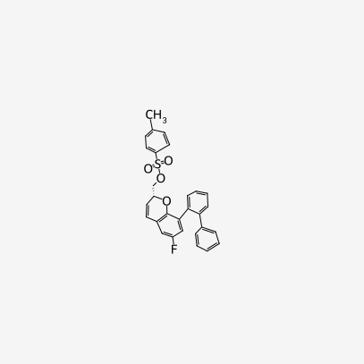 Cc1ccc(S(=O)(=O)OC[C@H]2C=Cc3cc(F)cc(-c4ccccc4-c4ccccc4)c3O2)cc1